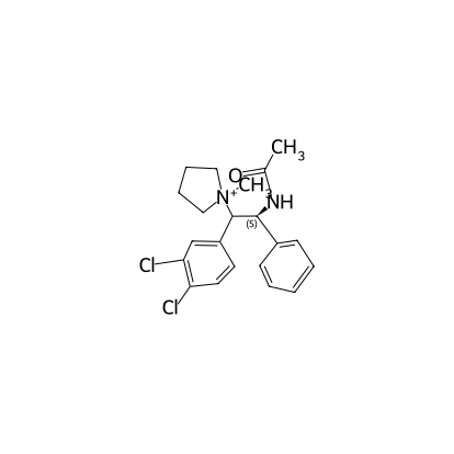 CC(=O)N[C@@H](c1ccccc1)C(c1ccc(Cl)c(Cl)c1)[N+]1(C)CCCC1